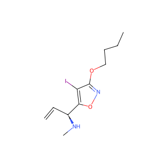 C=C[C@H](NC)c1onc(OCCCC)c1I